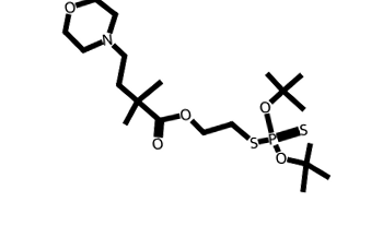 CC(C)(C)OP(=S)(OC(C)(C)C)SCCOC(=O)C(C)(C)CCN1CCOCC1